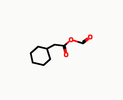 O=COC(=O)CC1CCCCC1